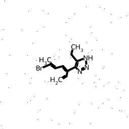 C=C/C(=C\C=C(/C)Br)c1nn[nH]c1CC